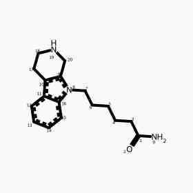 NC(=O)CCCCCn1c2c(c3ccccc31)CCNC2